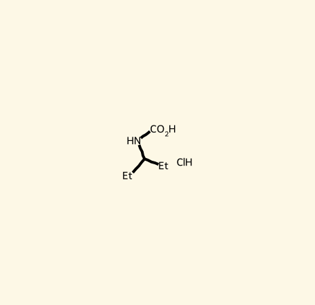 CCC(CC)NC(=O)O.Cl